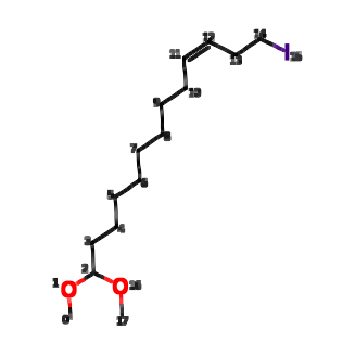 COC(CCCCCCCC/C=C\CCI)OC